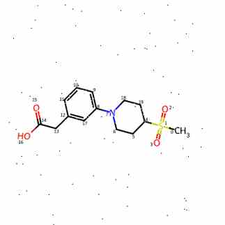 CS(=O)(=O)C1CCN(c2cccc(CC(=O)O)c2)CC1